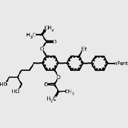 C=C(C)C(=O)Oc1cc(-c2ccc(-c3ccc(CCCCC)cc3)c(CC)c2)c(OC(=O)C(=C)C)cc1CCCC(CO)CO